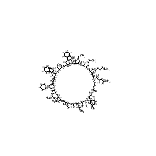 CCCC[C@H]1C(=O)N(C)[C@@H](CCCC)C(=O)N[C@@H](CCCCCN)C(=O)N[C@H](C(=O)NCC(N)=O)CSCC(=O)N[C@@H](Cc2ccc(O)cc2)C(=O)N(C)[C@@H](C)C(=O)N[C@@H](CC(N)=O)C(=O)N2CCC[C@H]2C(=O)N[C@@H](CN)C(=O)N[C@@H](CC(C)C)C(=O)N2C[C@H](C3CCCCC3)C[C@H]2C(=O)N[C@@H](Cc2c[nH]c3ccccc23)C(=O)N[C@@H](CO)C(=O)N[C@@H](Cc2c[nH]c3ccccc23)C(=O)N1C